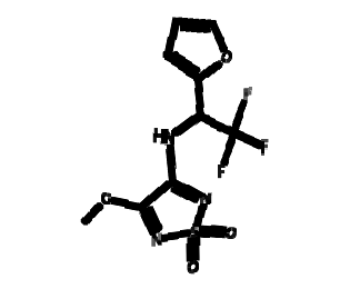 COC1=NS(=O)(=O)N=C1NC(c1ccco1)C(F)(F)F